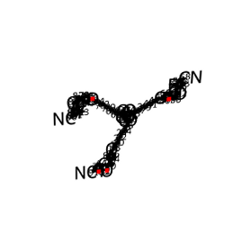 C=C(C(=O)Oc1ccc(C#N)cc1F)c1ccc(OCCCCCCCCCC(=O)OC(CC)(OC(=O)CCCCCCCCCOc2ccc(C(=C)C(=O)Oc3ccc(C#N)cc3F)cc2)OC(=O)CCCCCCCCCOc2ccc(C(=C)C(=O)Oc3ccc(C#N)cc3F)cc2)cc1